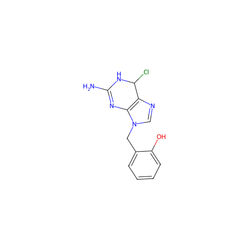 NC1=Nc2c(ncn2Cc2ccccc2O)C(Cl)N1